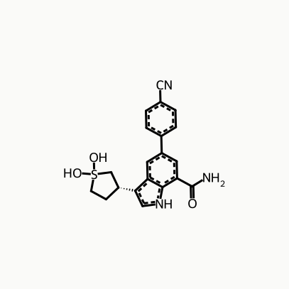 N#Cc1ccc(-c2cc(C(N)=O)c3[nH]cc([C@@H]4CCS(O)(O)C4)c3c2)cc1